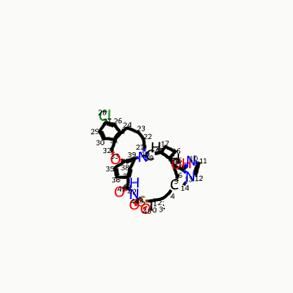 C[C@@H]1[C@@H](C)CCC[C@@](O)(c2nccn2C)[C@@H]2CC[C@H]2CN2CCCCc3cc(Cl)ccc3COc3ccc(cc32)C(=O)NS1(=O)=O